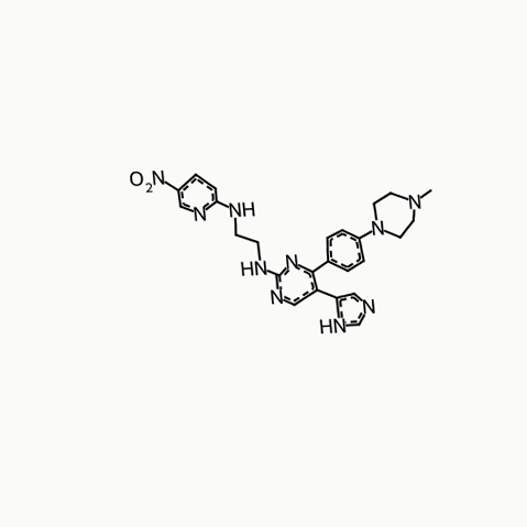 CN1CCN(c2ccc(-c3nc(NCCNc4ccc([N+](=O)[O-])cn4)ncc3-c3cnc[nH]3)cc2)CC1